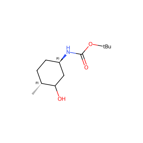 C[C@@H]1CC[C@@H](NC(=O)OC(C)(C)C)CC1O